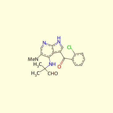 CNc1cnc2[nH]cc(C(=O)c3ccccc3Cl)c2c1NC(C)(C)C=O